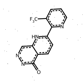 O=c1nncc2[nH]c(-c3ncccc3C(F)(F)F)ccc1-2